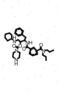 CCCN(CCC)C(=O)c1cccc(C(=O)NC(Cc2ccccc2)C(CNC2CCCCC2)OC(=O)N2CCNCC2)c1